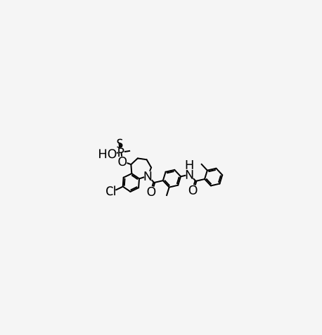 Cc1ccccc1C(=O)Nc1ccc(C(=O)N2CCCC(OP(C)(O)=S)c3cc(Cl)ccc32)c(C)c1